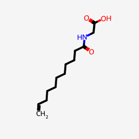 C=CCCCCCCCCC(=O)NCC(=O)O